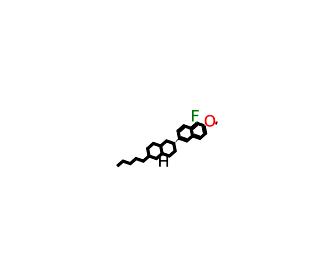 CCCCCC1CCC2C[C@H](c3ccc4c(F)c(OC)ccc4c3)CC[C@@H]2C1